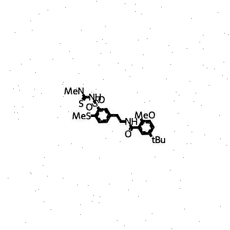 CNC(=S)NS(=O)(=O)c1cc(CCNC(=O)c2cc(C(C)(C)C)ccc2OC)ccc1SC